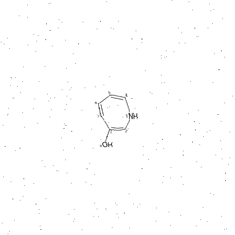 OC1=CNC=CC=C1